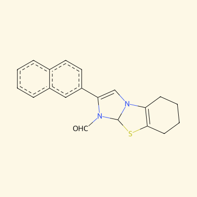 O=CN1C(c2ccc3ccccc3c2)=CN2C3=C(CCCC3)SC12